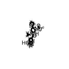 COC(=O)NC[C@]1(c2ccccn2)CC[C@H](N(C(=O)c2ccc([C@](C)(O)C(F)(F)F)cc2)C2CC2)CC1